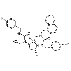 N#CCN(C(=O)NCc1ccc(F)cc1)N1CC(=O)N2[C@@H](Cc3ccc(O)cc3)C(=O)N(Cc3cccc4ccccc34)C[C@@H]21